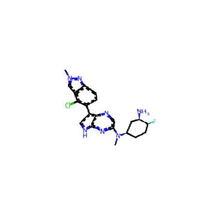 CN(c1cnc2c(-c3ccc4nn(C)cc4c3Cl)c[nH]c2n1)[C@@H]1CC[C@H](F)[C@H](N)C1